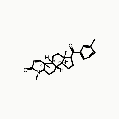 Cc1cccc(C(=O)C2CC[C@H]3[C@@H]4CCC5N(C)C(=O)C=C[C@]5(C)[C@@H]4CC[C@]23C)c1